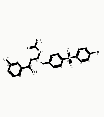 NC(=O)O[C@H](Cc1ccc(S(=O)(=O)c2ccc(O)cc2)cc1)CC(O)c1cccc(Cl)c1